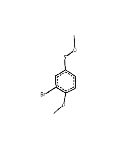 COSc1ccc(OC)c(Br)c1